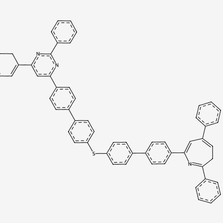 C1=CCCC(c2cc(-c3ccc(-c4ccc(Sc5ccc(-c6ccc(C7=CC(c8ccccc8)=CCC(c8ccccc8)=N7)cc6)cc5)cc4)cc3)nc(-c3ccccc3)n2)=C1